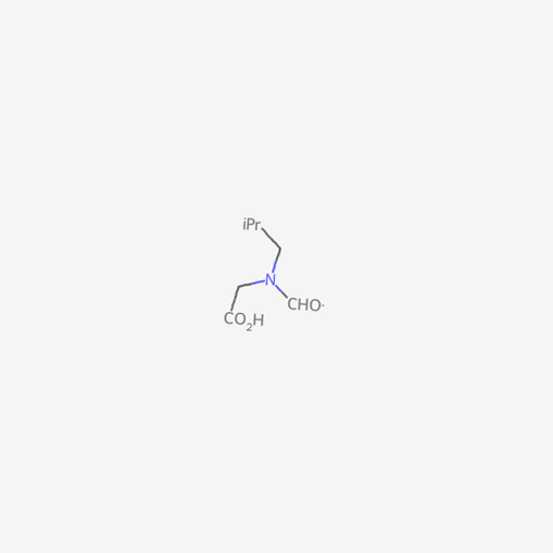 CC(C)CN([C]=O)CC(=O)O